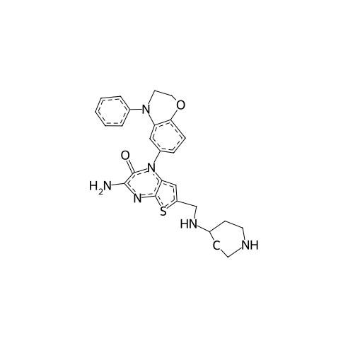 Nc1nc2sc(CNC3CCNCC3)cc2n(-c2ccc3c(c2)N(c2ccccc2)CCO3)c1=O